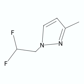 Cc1ccn(CC(F)F)n1